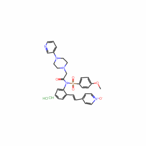 COc1ccc(S(=O)(=O)N(C(=O)CN2CCN(c3cccnc3)CC2)c2ccccc2C=Cc2cc[n+]([O-])cc2)cc1.Cl.Cl